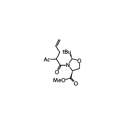 C=CCC(C(C)=O)C(=O)N1[C@H](C(=O)OC)CO[C@@H]1C(C)(C)C